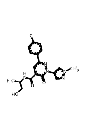 Cn1cc(-n2nc(-c3ccc(Cl)cc3)cc(C(=O)N[C@@H](CO)C(F)(F)F)c2=O)cn1